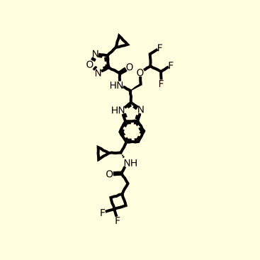 O=C(CC1CC(F)(F)C1)N[C@@H](c1ccc2nc([C@H](COC(CF)C(F)F)NC(=O)c3nonc3C3CC3)[nH]c2c1)C1CC1